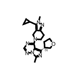 Cc1nc([C@@H]2CCOC2)c2c(N3CCc4nn(C)c(C5CC5)c4C3)ncnn12